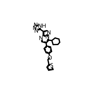 c1csc(COc2ccc(-c3cnc4c(-c5nnn[nH]5)cnn4c3C3CCCCC3)cc2)c1